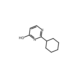 Oc1ccnc(C2CCCCC2)n1